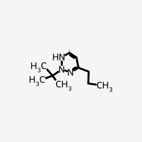 CCCC1=NN(C(C)(C)C)N[C]=C1